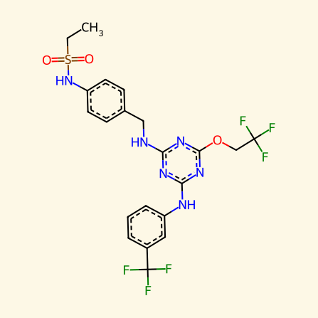 CCS(=O)(=O)Nc1ccc(CNc2nc(Nc3cccc(C(F)(F)F)c3)nc(OCC(F)(F)F)n2)cc1